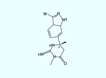 CN1C(=N)N[C@](C)(C2=CC3NN=C(Br)C3C=C2)CC1=O